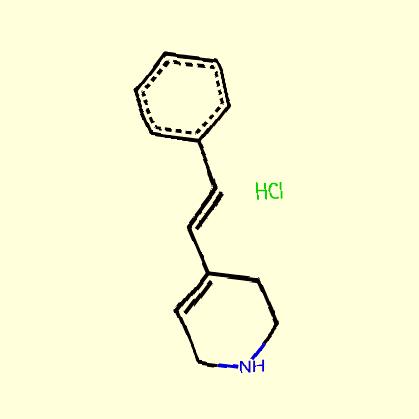 C1=C(/C=C/c2ccccc2)CCNC1.Cl